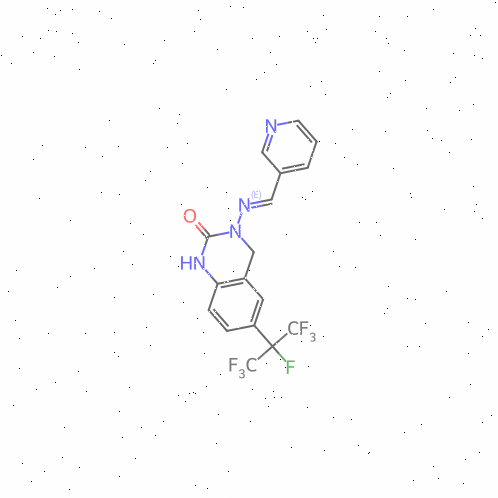 O=C1Nc2ccc(C(F)(C(F)(F)F)C(F)(F)F)cc2CN1/N=C/c1cccnc1